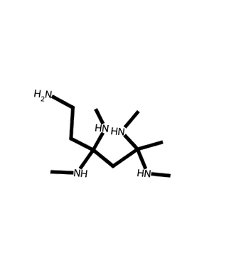 CNC(C)(CC(CCN)(NC)NC)NC